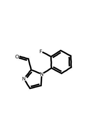 O=Cc1nccn1-c1ccccc1F